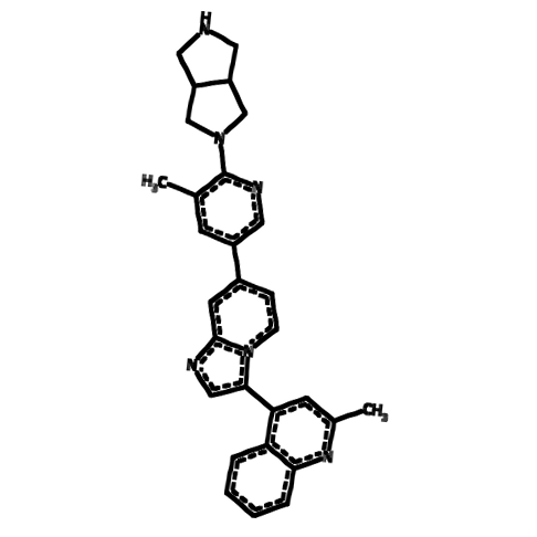 Cc1cc(-c2cnc3cc(-c4cnc(N5CC6CNCC6C5)c(C)c4)ccn23)c2ccccc2n1